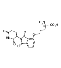 N[C@@H](CCCOc1cccc2c1C(=O)N(C1CCC(=O)NC1=O)C2=O)C(=O)O